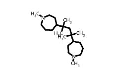 CN1CCCC(C(C)(C)CC(C)(C)C2CCCN(C)CC2)CC1